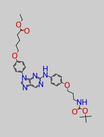 CCOC(=O)CCCCOc1ccc(-n2cnc3cnc(Nc4ccc(OCCCNC(=O)OC(C)(C)C)cc4)nc32)cc1